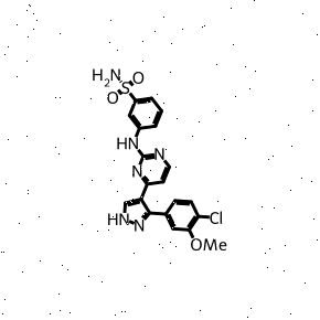 COc1cc(-c2n[nH]cc2-c2ccnc(Nc3cccc(S(N)(=O)=O)c3)n2)ccc1Cl